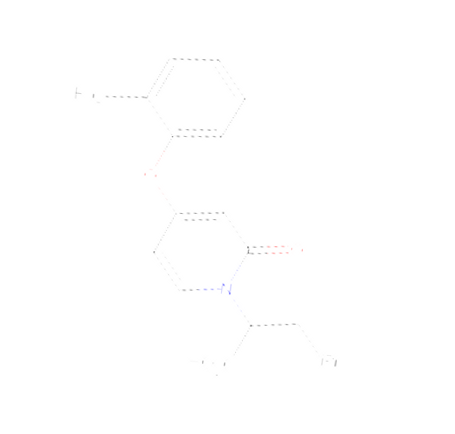 CC(C)CC(C(=O)O)n1ccc(Oc2ccccc2C(F)(F)F)cc1=O